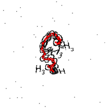 Cc1ccc(C)c(C(=O)c2ccc(Oc3ccc(S(=O)(=O)c4ccc(Oc5ccc(S(=O)(=O)c6ccc(Oc7ccc(S(=O)(=O)c8ccc(Oc9ccc(C(=O)c%10cc(Cc%11ccc(C(=O)c%12ccc(Oc%13ccc(C(=O)c%14ccc(Oc%15ccc(C(=O)c%16ccc(-c%17ccc(C)cc%17C(=O)c%17cccc(S(=O)(=O)O)c%17)cc%16)cc%15)cc%14)cc%13)cc%12)cc%11)ccc%10C)cc9)cc8)cc7)cc6)cc5)cc4)cc3)cc2)c1